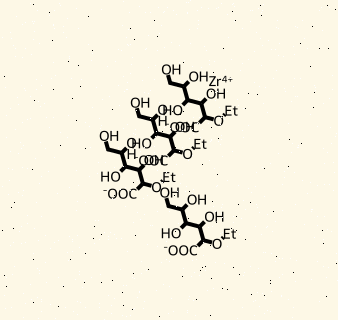 CCOC(C(=O)[O-])C(O)C(O)C(O)CO.CCOC(C(=O)[O-])C(O)C(O)C(O)CO.CCOC(C(=O)[O-])C(O)C(O)C(O)CO.CCOC(C(=O)[O-])C(O)C(O)C(O)CO.[Zr+4]